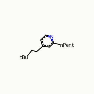 CCCCCc1cc(CCC(C)(C)C)ccn1